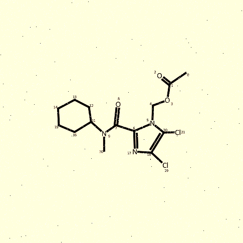 CC(=O)OCn1c(C(=O)N(C)C2CCCCC2)nc(Cl)c1Cl